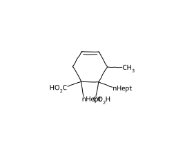 CCCCCCCC1(C(=O)O)CC=CC(C)C1(CCCCCCC)C(=O)O